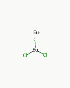 [Cl][Eu]([Cl])[Cl].[Eu]